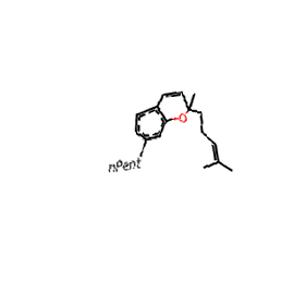 CCCCCc1ccc2c(c1)OC(C)(CCC=C(C)C)C=C2